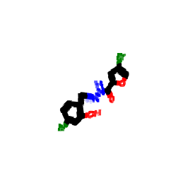 O=C(N/N=C/c1ccc(Br)cc1O)c1cc(Br)co1